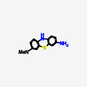 CNc1ccc2c(c1)Sc1cc(N)ccc1N2